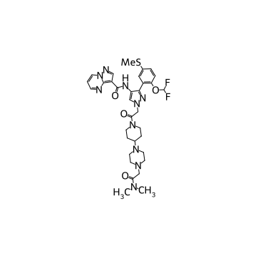 CSc1ccc(OC(F)F)c(-c2nn(CC(=O)N3CCC(N4CCN(CC(=O)N(C)C)CC4)CC3)cc2NC(=O)c2cnn3cccnc23)c1